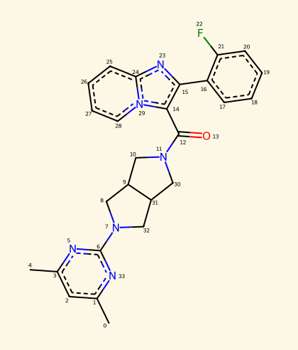 Cc1cc(C)nc(N2CC3CN(C(=O)c4c(-c5ccccc5F)nc5ccccn45)CC3C2)n1